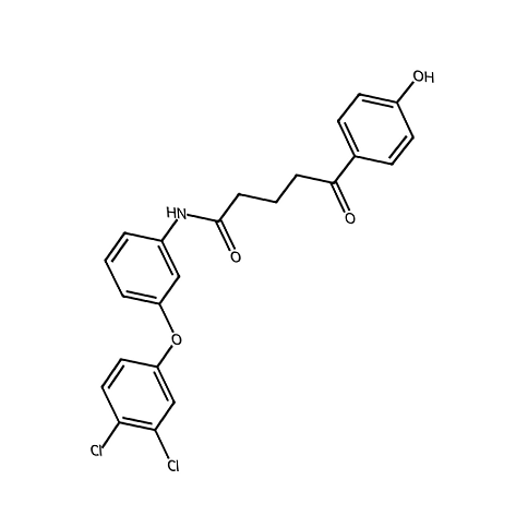 O=C(CCCC(=O)c1ccc(O)cc1)Nc1cccc(Oc2ccc(Cl)c(Cl)c2)c1